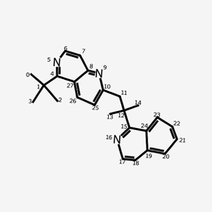 CC(C)(C)c1nccc2nc(CC(C)(C)c3nccc4ccccc34)ccc12